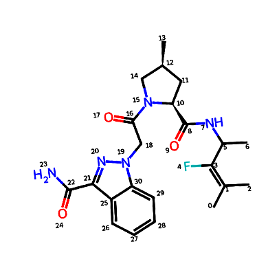 CC(C)=C(F)C(C)NC(=O)[C@@H]1C[C@H](C)CN1C(=O)Cn1nc(C(N)=O)c2ccccc21